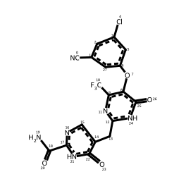 N#Cc1cc(Cl)cc(Oc2c(C(F)(F)F)nc(Cc3cnc(C(N)=O)[nH]c3=O)[nH]c2=O)c1